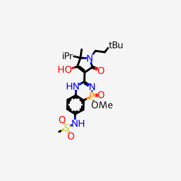 COP1(=O)N=C(C2=C(O)C(C)(C(C)C)N(CCC(C)(C)C)C2=O)Nc2ccc(NS(C)(=O)=O)cc21